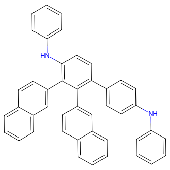 c1ccc(Nc2ccc(-c3ccc(Nc4ccccc4)c(-c4ccc5ccccc5c4)c3-c3ccc4ccccc4c3)cc2)cc1